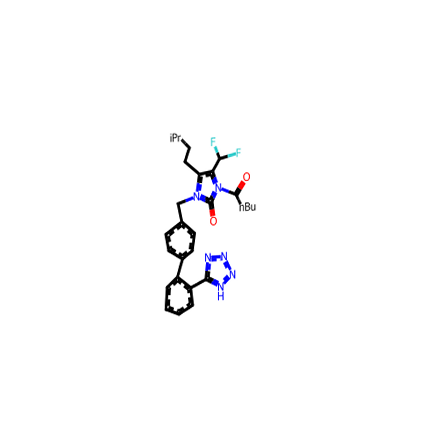 CCCCC(=O)n1c(C(F)F)c(CCC(C)C)n(Cc2ccc(-c3ccccc3-c3nnn[nH]3)cc2)c1=O